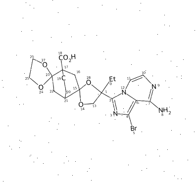 CCC1(c2nc(Br)c3c(N)nccn23)COC2(CC3(C(=O)O)CCC2CC32OCCO2)O1